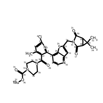 Cc1cc(Cl)nc(-c2ccnc3cc(CN4C(=O)C5C(C4=O)C5(C)C)sc23)c1C(=O)N1CCN(C(=O)OC(C)(C)C)CC1